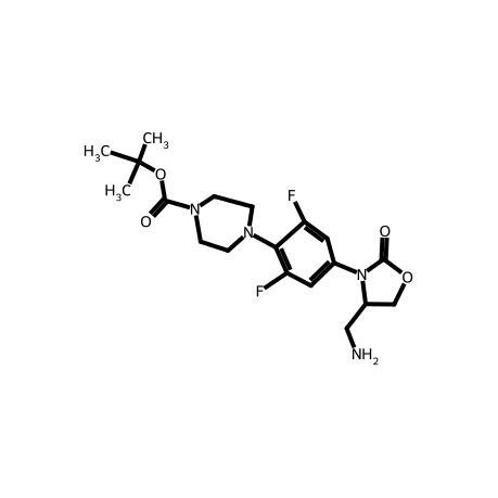 CC(C)(C)OC(=O)N1CCN(c2c(F)cc(N3C(=O)OCC3CN)cc2F)CC1